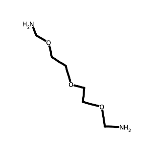 NCOCCOCCOCN